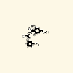 CCOCC1CC(=O)C(C(=NOC(CC)COc2cccc(C(F)(F)F)c2)C(C)CC)=C(O)C1